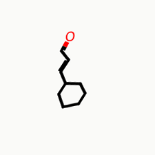 O=CC=CC1CCCCC1